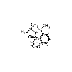 COc1cccc(OC)c1P(C)(=O)CC(C)C